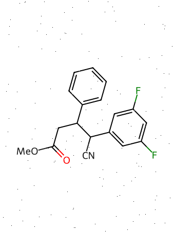 COC(=O)CC(c1ccccc1)C(C#N)c1cc(F)cc(F)c1